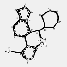 Cc1noc(C)c1-c1ccc2cncn2c1C(O)C1CCCCC1